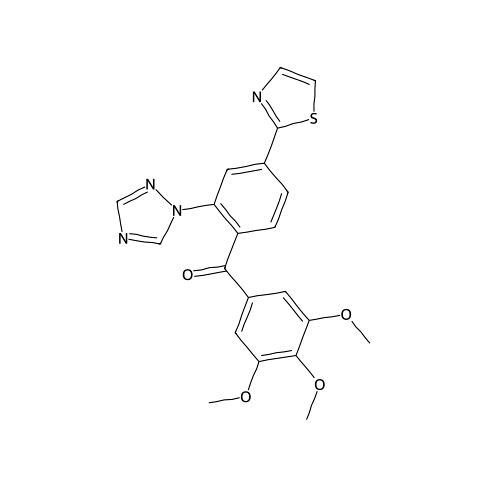 COc1cc(C(=O)c2ccc(-c3nccs3)cc2-n2cncn2)cc(OC)c1OC